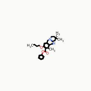 CCCCOc1cc(CN2CCC(C)(C)CC2)c(C#N)c(C)c1C(=O)Oc1ccccc1